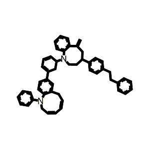 C=C1CC(c2ccc(CCc3ccccc3)cc2)CCN(C2C=CC=C(c3ccc4c(c3)C/C=C\C=C/CN4c3ccccc3)C2)c2ccccc21